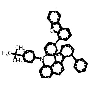 CC(C)(C)c1ccc(N(c2ccc(-c3cccc4c3oc3ccccc34)cc2)c2cccc3ccc4c(oc5cccc(-c6ccccc6)c54)c23)cc1